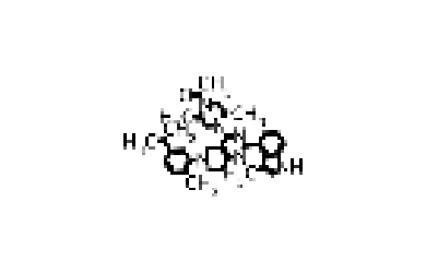 CC(=O)N1C[C@H](C)N(c2nc(-c3cccc4[nH]cc(C)c34)nc3c2CN(c2cc(C(C)C)ccc2C)CC3)C[C@H]1C